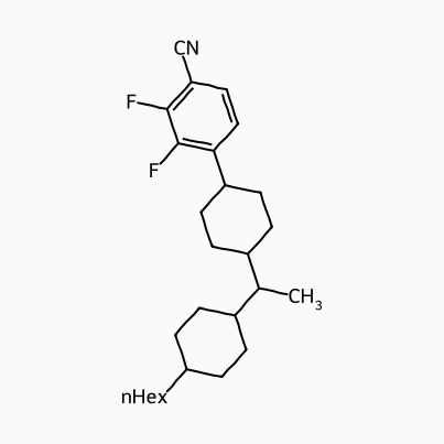 CCCCCCC1CCC(C(C)C2CCC(c3ccc(C#N)c(F)c3F)CC2)CC1